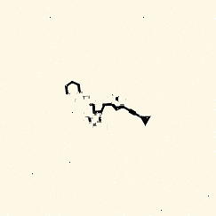 C[C@@](CCc1cc(C#CC2CC2)on1)(C(=O)NOC1CCCCO1)S(C)(=O)=O